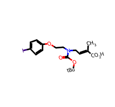 C/C(=C\CN(CCOc1ccc(I)cc1)C(=O)OC(C)(C)C)C(=O)O